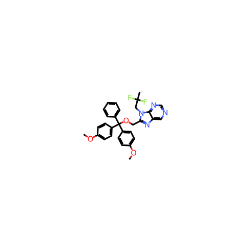 [CH2]C(F)(F)Cn1c(COC(c2ccccc2)(c2ccc(OC)cc2)c2ccc(OC)cc2)nc2cncnc21